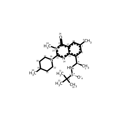 Cc1cc([C@@H](C)N[S@+]([O-])C(C)(C)C)c2nc(N3CCC(C)CC3)n(C)c(=O)c2c1